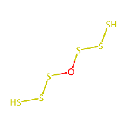 SSSOSSS